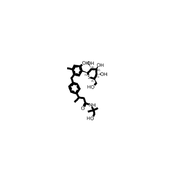 Cc1cc(O)c([C@@H]2S[C@H](CO)[C@@H](O)[C@H](O)[C@H]2O)cc1Cc1ccc(C(C)CC(=O)NC(C)(C)CO)cc1